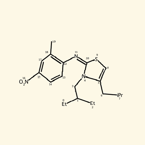 CCC(CC)Cn1c(CC(C)C)csc1=Nc1ccc([N+](=O)[O-])cc1C